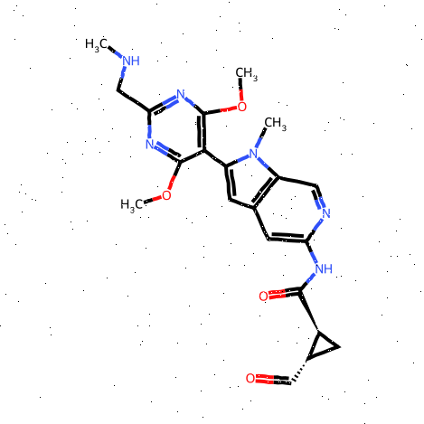 CNCc1nc(OC)c(-c2cc3cc(NC(=O)[C@H]4C[C@@H]4C=O)ncc3n2C)c(OC)n1